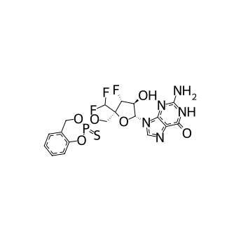 Nc1nc2c(ncn2[C@@H]2O[C@@](COP3(=S)OCc4ccccc4O3)(C(F)F)[C@H](F)[C@H]2O)c(=O)[nH]1